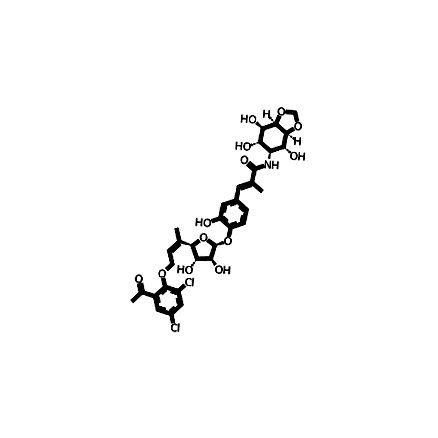 CC(=O)c1cc(Cl)cc(Cl)c1OC/C=C(/C)[C@H]1O[C@@H](Oc2ccc(/C=C(\C)C(=O)N[C@@H]3[C@H](O)[C@@H](O)[C@H]4OCO[C@H]4[C@@H]3O)cc2O)[C@@H](O)[C@@H]1O